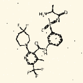 Cc1c(C(F)(F)F)cnc(N2CCCC(F)(F)CC2)c1C(=O)Nc1cccc(S(C)(=O)=NC(=O)C(C)N)c1